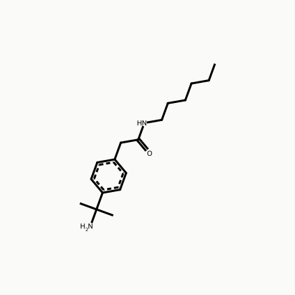 CCCCCCNC(=O)Cc1ccc(C(C)(C)N)cc1